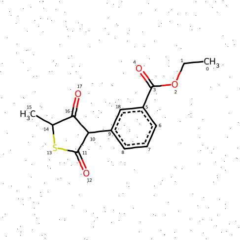 CCOC(=O)c1cccc(C2C(=O)SC(C)C2=O)c1